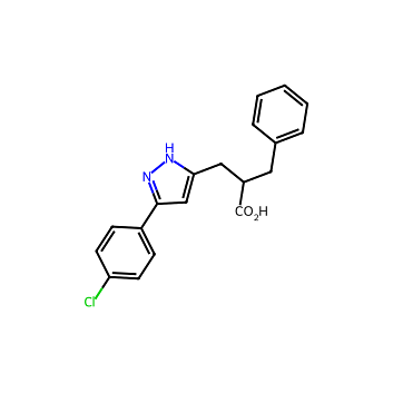 O=C(O)C(Cc1ccccc1)Cc1cc(-c2ccc(Cl)cc2)n[nH]1